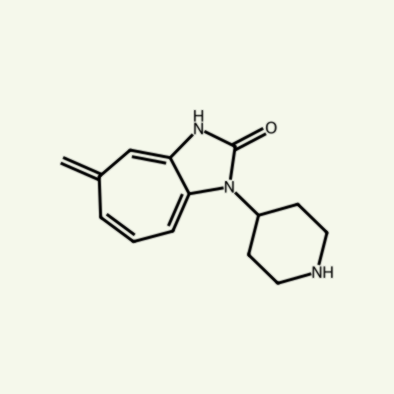 C=C1C=CC=c2c([nH]c(=O)n2C2CCNCC2)=C1